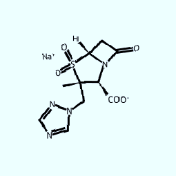 C[C@]1(Cn2cncn2)[C@H](C(=O)[O-])N2C(=O)C[C@H]2S1(=O)=O.[Na+]